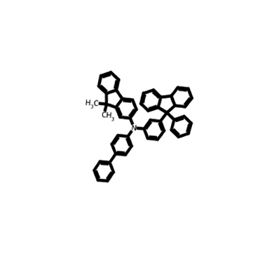 CC1(C)c2ccccc2-c2ccc(N(c3ccc(-c4ccccc4)cc3)c3cccc(C4(c5ccccc5)c5ccccc5C5C=CC=CC54)c3)cc21